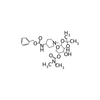 CN(C)C(=O)O[C@@H]1CO[C@@]2(CN3CCC(NC(=O)OCc4ccccc4)CC3)OC(C)(C)O[C@H]2[C@@H]1O